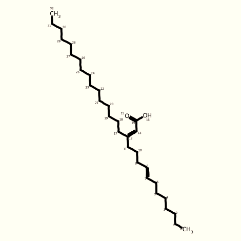 CCCCCCCC=CCCCC(=CC(=O)O)CCCCCCCCCCCCCCCC